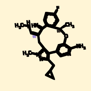 CN/C=C1/Cc2c(c(CC3CC3)nn2C)-c2cnc(N)c(c2)O[C@H](C)c2cc(F)ccc2C1=N